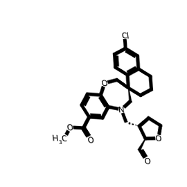 COC(=O)c1ccc2c(c1)N(C[C@@H]1CCO[C@H]1C=O)C[C@@]1(CCCc3cc(Cl)ccc31)CO2